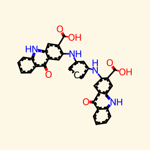 O=C(O)c1cc2[nH]c3ccccc3c(=O)c2cc1Nc1cccc(Nc2cc3c(=O)c4ccccc4[nH]c3cc2C(=O)O)c1